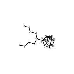 CCCCP(CCCC)[C]12[CH]3[CH]4[CH]5[CH]1[Ru]45321678[CH]2[CH]1[CH]6[CH]7[CH]28